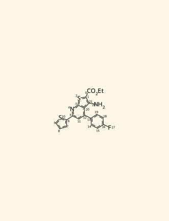 CCOC(=O)c1sc2nc(-c3cccs3)cc(-c3ccc(F)cc3)c2c1N